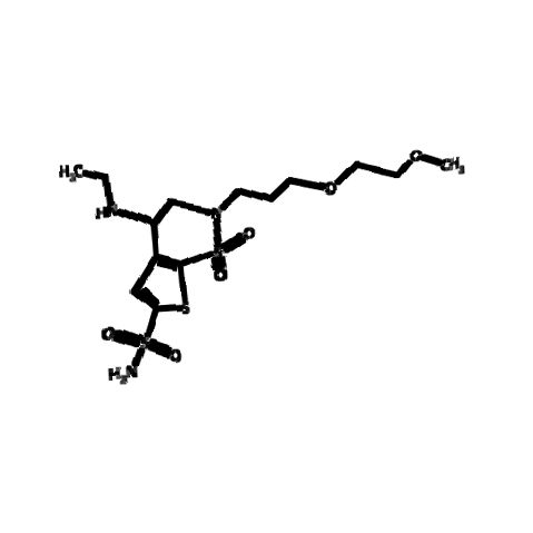 CCNC1CN(CCCOCCOC)S(=O)(=O)c2sc(S(N)(=O)=O)cc21